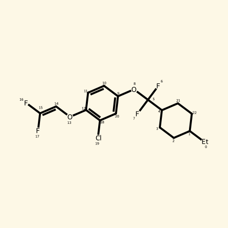 CCC1CCC(C(F)(F)Oc2ccc(OC=C(F)F)c(Cl)c2)CC1